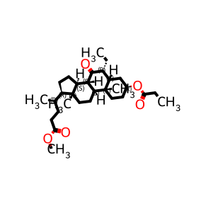 CCC(=O)O[C@@H]1CC[C@]2(C)[C@H]3CC[C@]4(C)[C@@H]([C@H](C)CCC(=O)OC)CC[C@H]4[C@@H]3C(=O)[C@H](CC)[C@@H]2C1